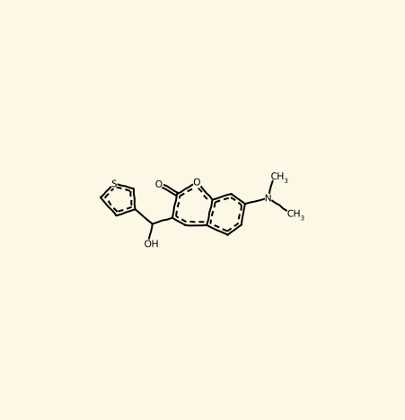 CN(C)c1ccc2cc(C(O)c3ccsc3)c(=O)oc2c1